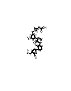 CNCc1ccc(-c2cccc(-c3ccnc(-c4cc(CN5CC(CC(=O)O)C5)cc(OC)c4)c3Cl)c2Cl)nc1OC